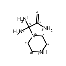 C=C(N)C(N)(N)N1CCNCC1